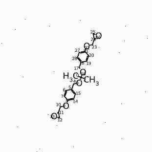 CC(C)(OCc1ccc(OCC2CO2)cc1)OCc1ccc(OCC2CO2)cc1